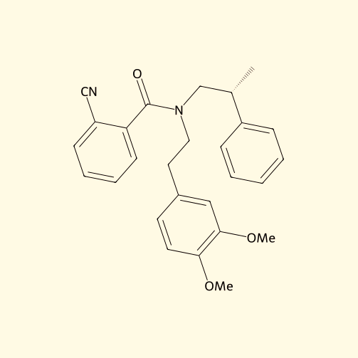 COc1ccc(CCN(C[C@H](C)c2ccccc2)C(=O)c2ccccc2C#N)cc1OC